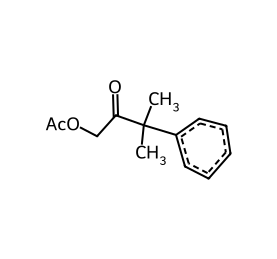 CC(=O)OCC(=O)C(C)(C)c1ccccc1